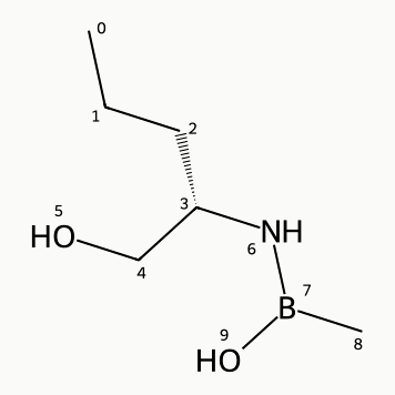 CCC[C@@H](CO)NB(C)O